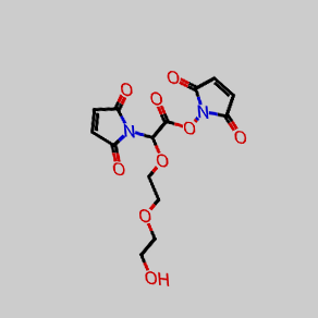 O=C(ON1C(=O)C=CC1=O)C(OCCOCCO)N1C(=O)C=CC1=O